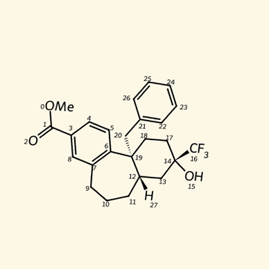 COC(=O)c1ccc2c(c1)CCC[C@H]1C[C@](O)(C(F)(F)F)CC[C@]21Cc1ccccc1